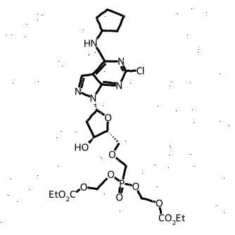 CCOC(=O)OCOP(=O)(COC[C@H]1O[C@@H](n2ncc3c(NC4CCCC4)nc(Cl)nc32)C[C@@H]1O)OCOC(=O)OCC